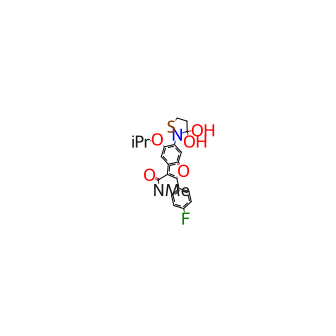 CNC(=O)c1c(-c2ccc(F)cc2)oc2cc(N3SCCC3(O)O)c(OC(C)C)cc12